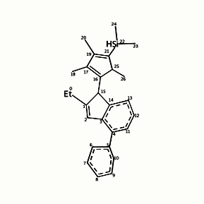 CCC1=Cc2c(-c3ccccc3)cccc2C1C1=C(C)C(C)=C([SiH](C)C)C1C